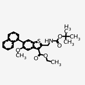 CCOC(=O)c1c(CNC(=O)OC(C)(C)C)sc2cc(-c3cccc4ccccc34)c(OC)cc12